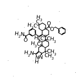 CC1(C)CC[C@]2(C(=O)OCc3ccccc3)CC[C@]3(C)C(=C(c4cccc(C(N)=O)c4)CC4[C@@]5(C)Cc6c(n[nH]c6N)C(C)(C)C5CC[C@]43C)C2C1